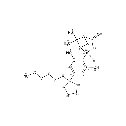 CC1(C)C2CC1[C@H](c1c(O)cc(C3(CCCCCC#N)CCCC3)cc1O)CC2=O